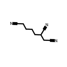 N#CCCCCC(C#N)CC#N